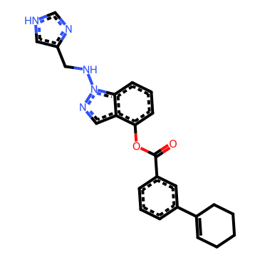 O=C(Oc1cccc2c1cnn2NCc1c[nH]cn1)c1cccc(C2=CCCCC2)c1